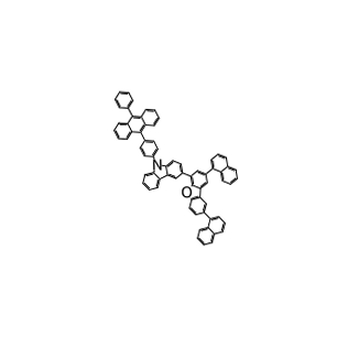 c1ccc(-c2c3ccccc3c(-c3ccc(-n4c5ccccc5c5cc(-c6cc(-c7cccc8ccccc78)cc7c6oc6ccc(-c8cccc9ccccc89)cc67)ccc54)cc3)c3ccccc23)cc1